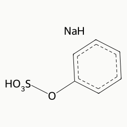 O=S(=O)(O)Oc1ccccc1.[NaH]